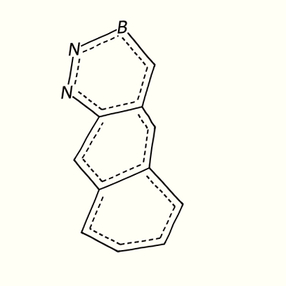 b1cc2cc3ccccc3cc2nn1